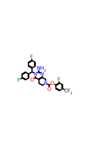 Nc1nc2c(c(=O)n1C(c1ccc(F)cc1)c1ccc(F)cc1)CCN(C(=O)Oc1ccc(C(F)(F)F)cc1F)C2